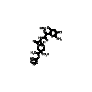 CON=C(C(=O)NC1C(=O)N2CC(C(=O)O)(C(C)Sc3nnn[nH]3)CS[C@H]12)c1nc(N)c(Cl)cc1Cl